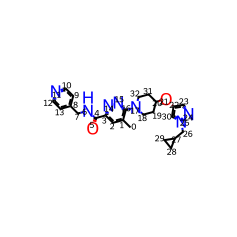 Cc1cc(C(=O)NCc2ccncc2)nnc1N1CCC(Oc2cnn(CC3CC3)c2)CC1